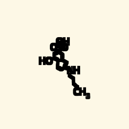 CCCCCNc1ccc2c(O)cc(S(=O)(=O)O)cc2c1